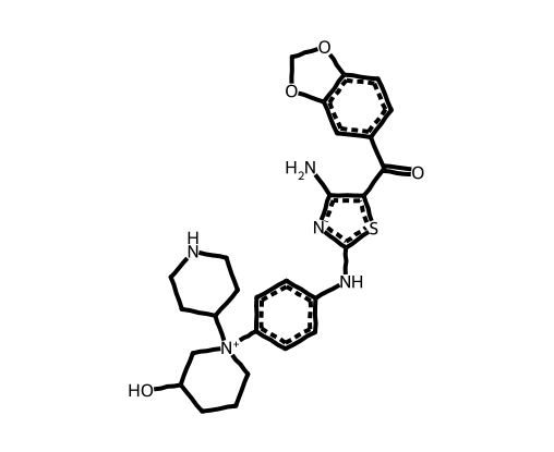 Nc1nc(Nc2ccc([N+]3(C4CCNCC4)CCCC(O)C3)cc2)sc1C(=O)c1ccc2c(c1)OCO2